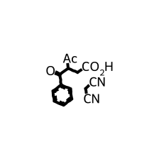 CC(=O)C(CC(=O)O)C(=O)c1ccccc1.N#CCC#N